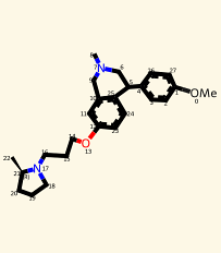 COc1ccc(C2CN(C)Cc3cc(OCCCN4CCC[C@H]4C)ccc32)cc1